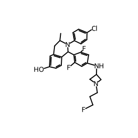 CC1Cc2cc(O)ccc2C(c2c(F)cc(NC3CN(CCCF)C3)cc2F)N1c1ccc(Cl)cc1